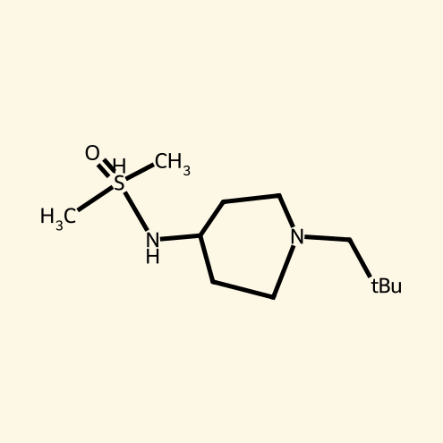 CC(C)(C)CN1CCC(N[SH](C)(C)=O)CC1